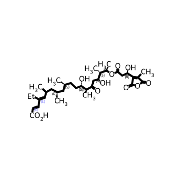 CCC(/C=C/C(=O)O)=C\C(C)C[C@H](C)C[C@@H](C)CC[C@H](O)[C@H](C)C(=O)C[C@@H](O)[C@H](C)[C@@H](C)OC(=O)C[C@@H](O)C1=C(C)C(=O)OC1=O